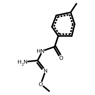 CON=C(N)NC(=O)c1ccc(C)cc1